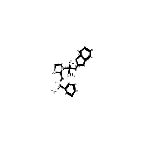 C[C@@H](OCC1OCCN1C(C)(C)CC1Cc2ccccc2C1)c1[c]cccc1